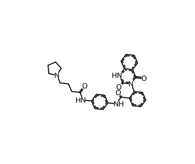 O=C(CCCN1CCCC1)Nc1ccc(NC(=O)c2ccccc2-n2c(=O)[nH]c3ccccc3c2=O)cc1